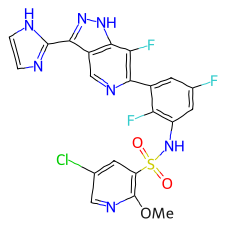 COc1ncc(Cl)cc1S(=O)(=O)Nc1cc(F)cc(-c2ncc3c(-c4ncc[nH]4)n[nH]c3c2F)c1F